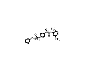 O=C(NCc1cccnc1)Nc1ccc([S+]([O-])NCc2cc(C(F)(F)F)ccc2C(F)(F)F)cc1